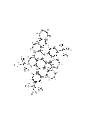 CC(C)(C)c1ccc(N2B3c4c(cc(C(C)(C)C)cc4N(c4ccc(C(C)(C)C)cc4-c4ccccc4)c4sc5ccccc5c43)-c3ccc4c(oc5ccccc54)c32)cc1